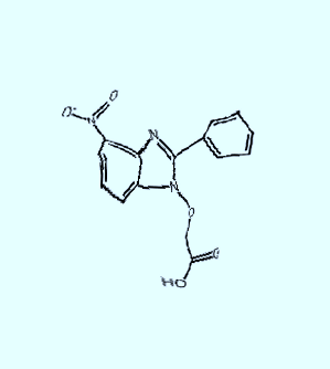 O=C(O)COn1c(-c2ccccc2)nc2c([N+](=O)[O-])cccc21